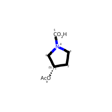 CC(=O)O[C@H]1CCN(C(=O)O)C1